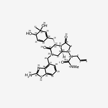 C=CCN(C(=O)NC)N1CC(=O)N2[C@@H](CC3=CC(C)(O)C(O)C=C3)C(=O)N(Cc3cccc4sc(N)nc34)C[C@@H]21